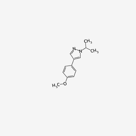 COc1ccc(-c2cnn(C(C)C)c2)cc1